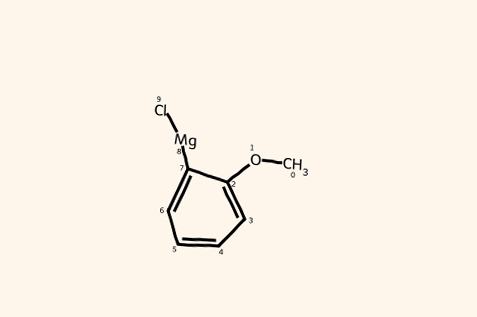 COc1cccc[c]1[Mg][Cl]